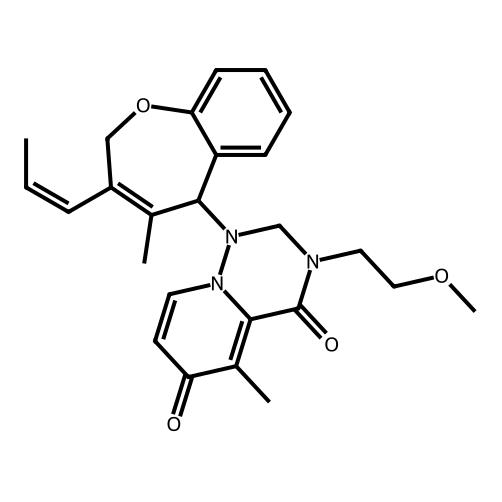 C/C=C\C1=C(C)C(N2CN(CCOC)C(=O)c3c(C)c(=O)ccn32)c2ccccc2OC1